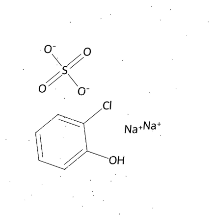 O=S(=O)([O-])[O-].Oc1ccccc1Cl.[Na+].[Na+]